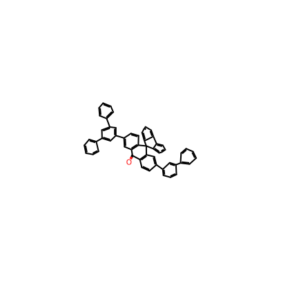 O=C1c2cc(-c3cc(-c4ccccc4)cc(-c4ccccc4)c3)ccc2C2(c3cc(-c4cccc(-c5ccccc5)c4)ccc31)c1ccccc1-c1ccccc12